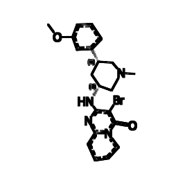 COc1cccc([C@H]2C[C@@H](Nc3nc4ccccn4c(=O)c3Br)CN(C)C2)c1